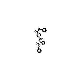 O=C(CN(C(=O)OCc1ccccc1)C1CCCC1)N1CCN(C(=O)C2CC2c2ccccc2)CC1